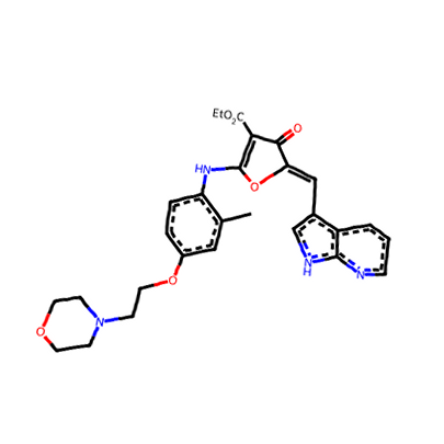 CCOC(=O)C1=C(Nc2ccc(OCCN3CCOCC3)cc2C)O/C(=C\c2c[nH]c3ncccc23)C1=O